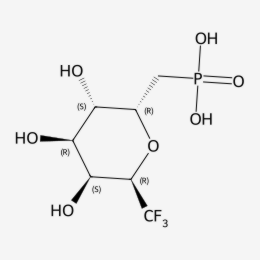 O=P(O)(O)C[C@@H]1O[C@@H](C(F)(F)F)[C@@H](O)[C@@H](O)[C@@H]1O